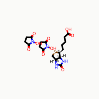 O=C(O)CCCC[C@@H]1SC[C@@H]2NC(=O)N[C@@H]21.O=C1CCC(=O)N1O.O=C1CCC(=O)N1O